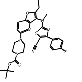 CCc1oc2ccc(N3CCN(C(=O)OC(C)(C)C)CC3)nc2c1N(C)c1nc(-c2ccc(F)cc2)c(C#N)s1